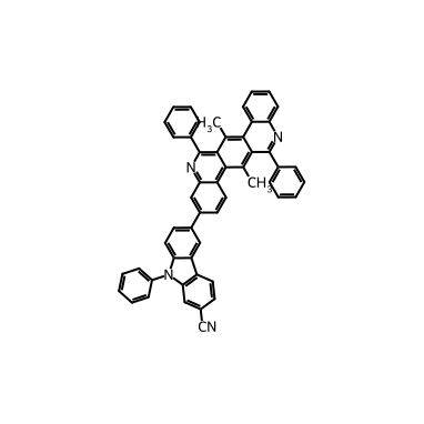 Cc1c2c(-c3ccccc3)nc3cc(-c4ccc5c(c4)c4ccc(C#N)cc4n5-c4ccccc4)ccc3c2c(C)c2c(-c3ccccc3)nc3ccccc3c12